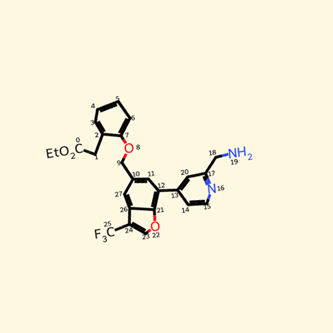 CCOC(=O)Cc1ccccc1OCc1cc(-c2ccnc(CN)c2)c2occ(C(F)(F)F)c2c1